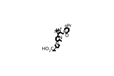 CCCc1ccc(=O)n(Cc2c(-c3ccc(N4CC[C@@H](C(C)(C)C(=O)O)C4)c(C)n3)nnn2C)c1